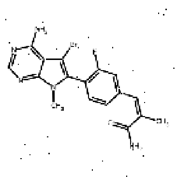 CC(=Cc1ccc(-c2c(Br)c3c(N)ncnc3n2C)c(F)c1)C(N)=O